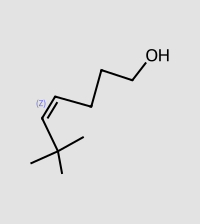 CC(C)(C)/C=C\CCCO